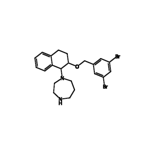 Brc1cc(Br)cc(COC2CCc3ccccc3C2N2CCCNCC2)c1